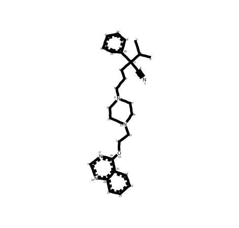 CC(C)C(C#N)(CCCN1CCN(CCOc2ncnc3ccccc23)CC1)c1ccccc1